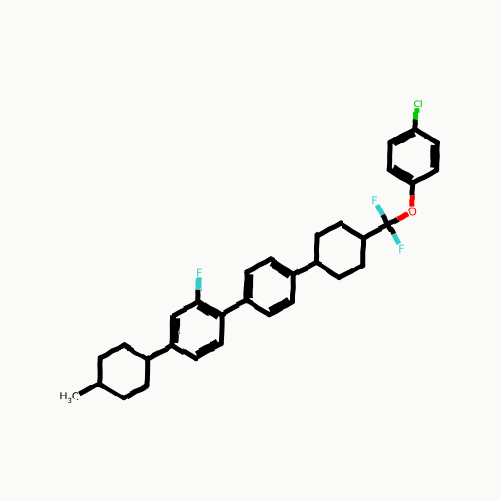 CC1CCC(c2ccc(-c3ccc(C4CCC(C(F)(F)Oc5ccc(Cl)cc5)CC4)cc3)c(F)c2)CC1